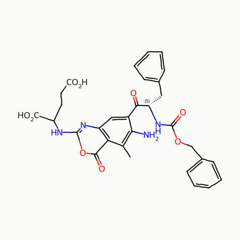 Cc1c(N)c(C(=O)[C@H](Cc2ccccc2)NC(=O)OCc2ccccc2)cc2nc(NC(CCC(=O)O)C(=O)O)oc(=O)c12